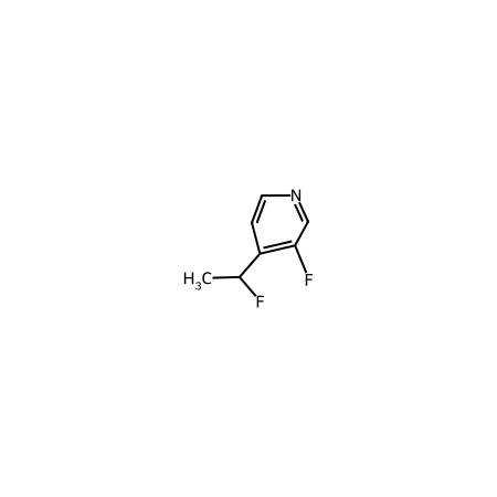 CC(F)c1ccncc1F